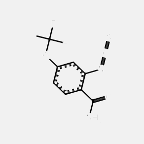 NC(=O)c1ccc(OC(F)(F)F)cc1N=C=S